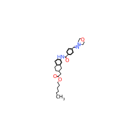 CCCCCCOC(=O)CC1CCc2ccc(NC(=O)c3ccc(/C=N/N4CCOCC4)cc3)cc2C1